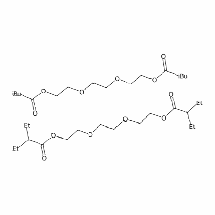 CCC(C)C(=O)OCCOCCOCCOC(=O)C(C)CC.CCC(CC)C(=O)OCCOCCOCCOC(=O)C(CC)CC